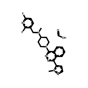 CN(Cc1ccc(F)nc1F)C1CCN(c2nnc(-c3ccnn3C)c3ccccc23)CC1.O=CO